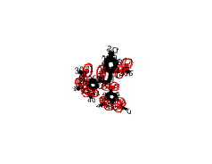 CC(=O)Oc1cc(C(=O)O[C@@H]2Cc3c(OC(C)=O)cc(C)cc3O[C@@H]2c2cc(OC(C)=O)c(OC(C)=O)c(OC(C)=O)c2)cc(OC(C)=O)c1C